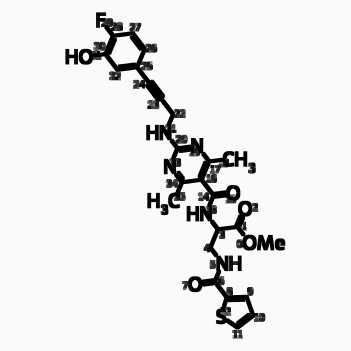 COC(=O)C(CNC(=O)c1cccs1)NC(=O)c1c(C)nc(NCC#Cc2ccc(F)c(O)c2)nc1C